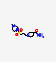 CN1CCN(S(=O)(=O)CCCN2CCC(C(N)=O)CC2)CC1